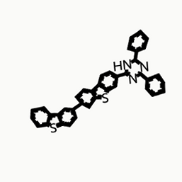 c1ccc(C2=NC(c3ccccc3)NC(c3ccc4c(c3)sc3cc(-c5ccc6sc7ccccc7c6c5)ccc34)=N2)cc1